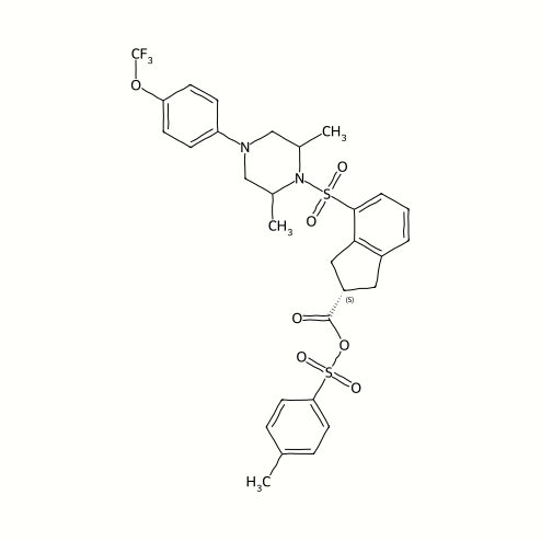 Cc1ccc(S(=O)(=O)OC(=O)[C@H]2Cc3cccc(S(=O)(=O)N4C(C)CN(c5ccc(OC(F)(F)F)cc5)CC4C)c3C2)cc1